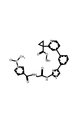 C[S+]([O-])n1ccc(C(=O)NCC(=O)Nc2nc(-c3cccc(-c4ccnc(C5(C(=O)OC(C)(C)C)CC5)c4)c3)cs2)c1